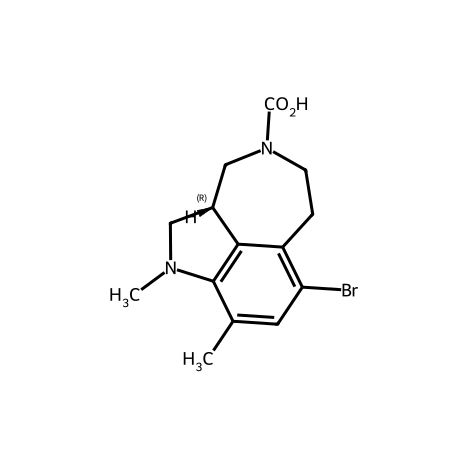 Cc1cc(Br)c2c3c1N(C)C[C@@H]3CN(C(=O)O)CC2